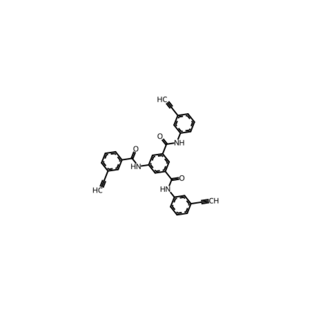 C#Cc1cccc(NC(=O)c2cc(NC(=O)c3cccc(C#C)c3)cc(C(=O)Nc3cccc(C#C)c3)c2)c1